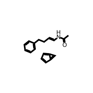 CC(=O)NC=CCCc1ccccc1.c1cc2cc-2c1